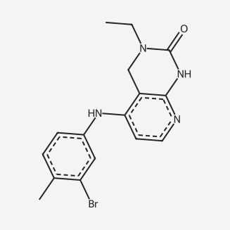 CCN1Cc2c(Nc3ccc(C)c(Br)c3)ccnc2NC1=O